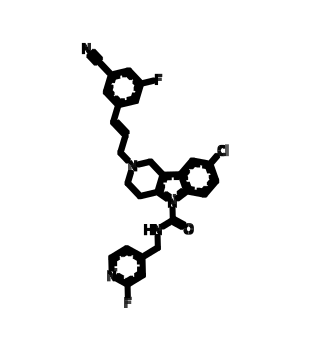 N#Cc1cc(F)cc(C=CCN2CCc3c(c4cc(Cl)ccc4n3C(=O)NCc3ccnc(F)c3)C2)c1